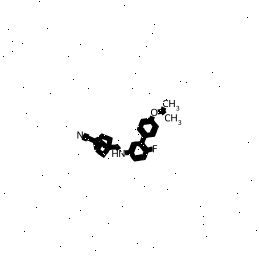 CC(C)Oc1ccc(-c2cc(NCC34CCC(C#N)=C(C3)C4)ccc2F)cc1